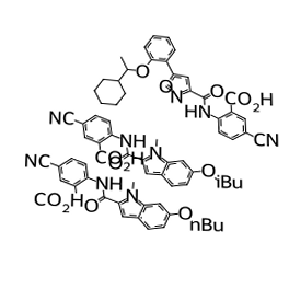 CC(Oc1ccccc1-c1cc(C(=O)Nc2ccc(C#N)cc2C(=O)O)no1)C1CCCCC1.CCC(C)Oc1ccc2cc(C(=O)Nc3ccc(C#N)cc3C(=O)O)n(C)c2c1.CCCCOc1ccc2cc(C(=O)Nc3ccc(C#N)cc3C(=O)O)n(C)c2c1